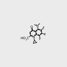 CN(C)c1c(F)c(F)c(F)c2c1c(=O)cc(C(=O)O)n2C1CC1